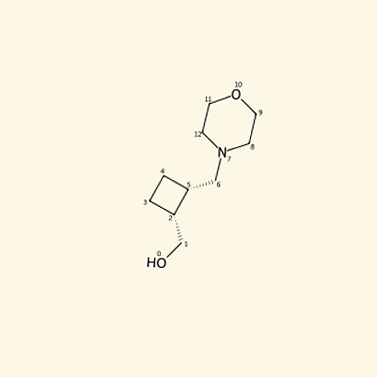 OC[C@@H]1CC[C@@H]1CN1CCOCC1